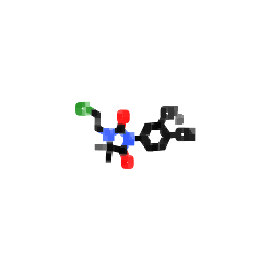 CC1(C)C(=O)N(c2ccc(C#N)c(C(F)(F)F)c2)C(=O)N1CCCl